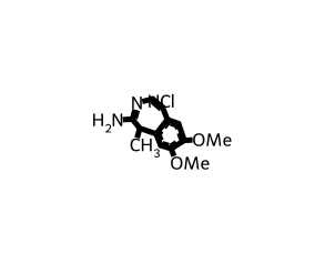 COc1cc2c(cc1OC)C(C)C(N)=NC=C2.Cl